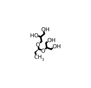 CC[C@@H](OCC(O)CO)OC(CO)CO